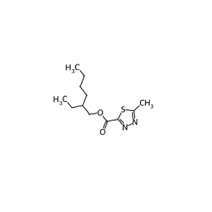 CCCCC(CC)COC(=O)c1nnc(C)s1